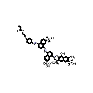 C=CC(=O)OCCOc1ccc(/N=N/c2ccc(/N=N/c3ccc(/N=N/c4c(S(=O)(=O)O)cc5cc(S(=O)(=O)O)c(N)cc5c4O)c4cc(S(=O)(=O)O)ccc34)c3cc(S(=O)(=O)O)ccc23)cc1